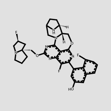 Oc1cc(-c2nc3c4c(nc(OC[C@]56CCCN5C[C@@H](F)C6)nc4c2F)N2CC4CC[C@H](N4)[C@@H]2CO3)c2c(F)cccc2c1